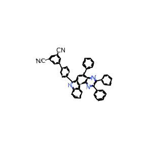 N#Cc1cc(C#N)cc(-c2ccc(-c3nc4ccccc4c4c3cc(-c3ccccc3)c3nc(-c5ccccc5)c(-c5ccccc5)nc34)cc2)c1